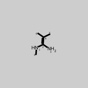 CNC(N)=C(C)C